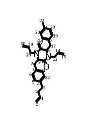 C=CCCc1ccc(CC2C(=O)N(CC=C)C(Cc3ccc(C)cc3)C(=C)N2CC=C)cc1